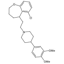 COc1ccc(C2CCN(CCC3CCCOc4cccc(Cl)c43)CC2)cc1OC